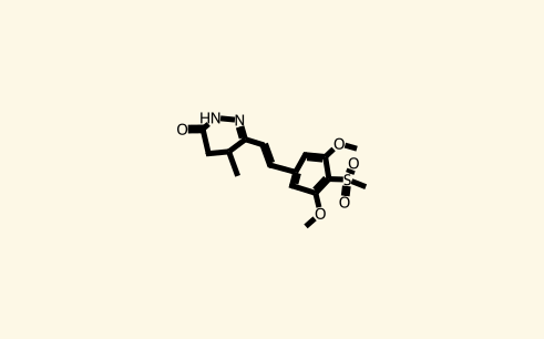 COc1cc(C=CC2=NNC(=O)CC2C)cc(OC)c1S(C)(=O)=O